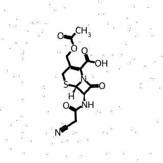 CC(=O)OCC1=C(C(=O)O)N2C(=O)[C@@H](NC(=O)CC#N)[C@@H]2SC1